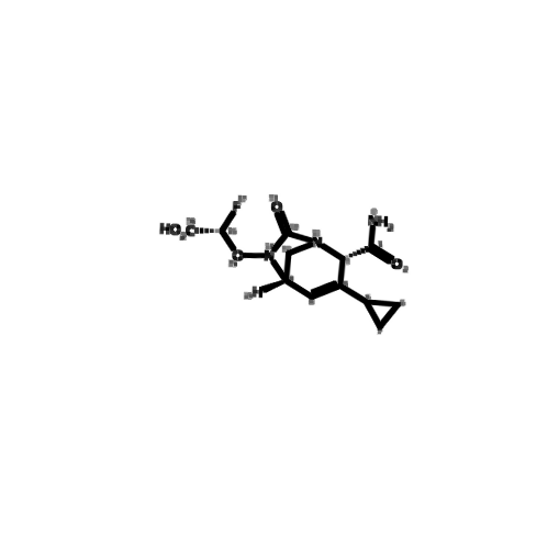 NC(=O)[C@@H]1C(C2CC2)=C[C@H]2CN1C(=O)N2O[C@@H](F)C(=O)O